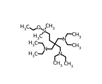 CCO[Si](C)(C)CCC(CN(CC)CC)(CN(CC)CC)CN(CC)CC